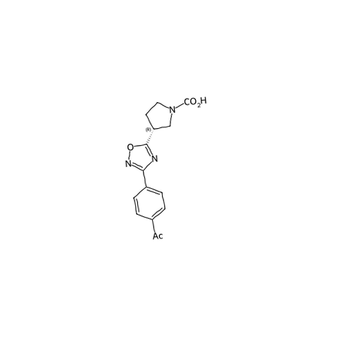 CC(=O)c1ccc(-c2noc([C@@H]3CCN(C(=O)O)C3)n2)cc1